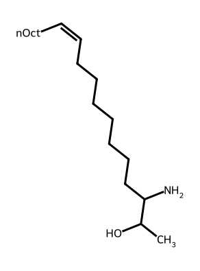 CCCCCCCC/C=C\CCCCCCCC(N)C(C)O